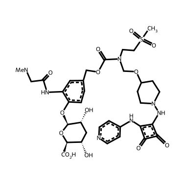 CNCC(=O)Nc1cc(COC(=O)N(CCS(C)(=O)=O)COC2CCN(Nc3c(Nc4ccncc4)c(=O)c3=O)CC2)ccc1O[C@@H]1O[C@H](C(=O)O)[C@@H](O)C[C@H]1O